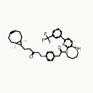 C[C@@]12CCC#CCC[C@]1(C)C2CCC(=O)CCc1ccc(CC(=O)N2CCCCNc3ccc(-c4cccc(C(F)(F)F)c4)nc32)cc1